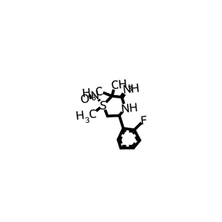 CC1(C)C(=N)NC(c2ccccc2F)CS1(C)N=O